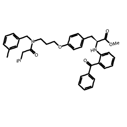 COC(=O)[C@H](Cc1ccc(OCCCN(Cc2cccc(C)c2)C(=O)CC(C)C)cc1)Nc1ccccc1C(=O)c1ccccc1